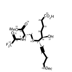 CCCCCCCCCCCCC#C[C@H](SC[C@H](NC(=O)C(F)(F)F)C(=O)OC)[C@H](O)CCCC(=O)O